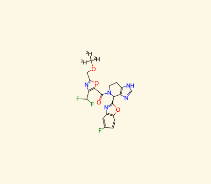 [2H]C([2H])([2H])OCc1nc(C(F)F)c(C(=O)N2CCc3[nH]cnc3[C@H]2c2nc3cc(F)ccc3o2)o1